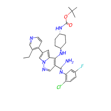 CCc1cnccc1-c1cc2c(N[C@H]3CC[C@H](NC(=O)OC(C)(C)C)CC3)c(C(N)=Nc3cc(F)ccc3Cl)cnn2c1